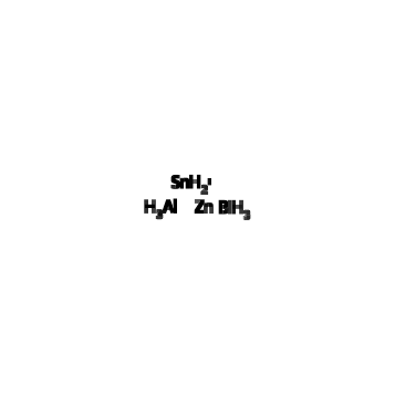 [AlH3].[BiH3].[SnH2].[Zn]